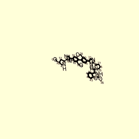 COC[C@@H]1CN[C@H](c2ncc(-c3cc4c5c(c3)OCc3cc(-c6cnc([C@@H]7CCCN7C(=O)[C@H](NC(=O)OC)c7ccccc7)[nH]6)cc(c3-5)OC4)[nH]2)C1